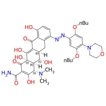 CCCCOc1cc(N2CCOCC2)c(OCCCC)cc1N=Nc1ccc(O)c2c1C[C@@H]1C(=C(O)[C@]3(O)C(=O)C(C(N)=O)=C(O)[C@@H](N(C)C)[C@@H]3[C@H]1O)C2=O